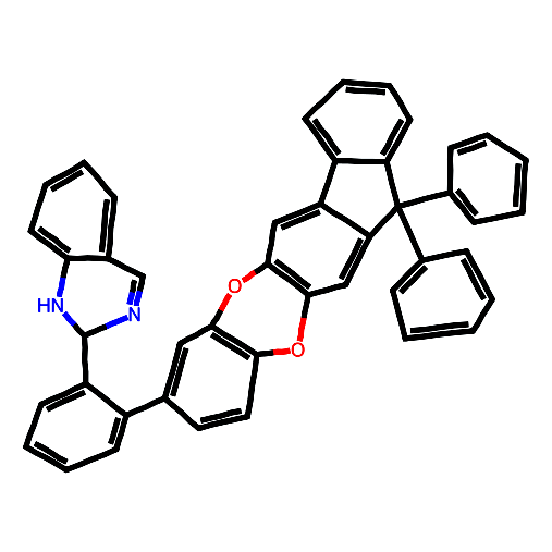 C1=NC(c2ccccc2-c2ccc3c(c2)Oc2cc4c(cc2O3)C(c2ccccc2)(c2ccccc2)c2ccccc2-4)Nc2ccccc21